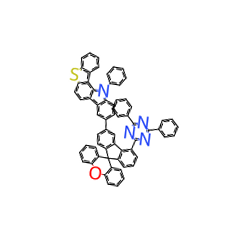 c1ccc(-c2nc(-c3ccccc3)nc(-c3cccc4c3-c3cc(-c5ccc6c(c5)c5ccc7sc8ccccc8c7c5n6-c5ccccc5)ccc3C43c4ccccc4Oc4ccccc43)n2)cc1